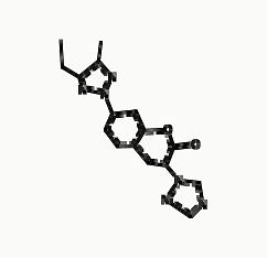 CCc1nn(-c2ccc3cc(-n4cncn4)c(=O)oc3c2)nc1C